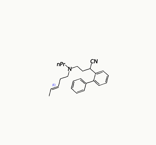 C/C=C/CCN(CCC)CCC(C#N)c1ccccc1-c1ccccc1